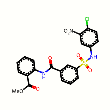 COC(=O)c1ccccc1NC(=O)c1cccc(S(=O)(=O)Nc2ccc(Cl)c([N+](=O)[O-])c2)c1